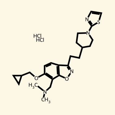 CN(C)Cc1c(OCC2CC2)ccc2c(CCC3CCN(c4nccs4)CC3)noc12.Cl.Cl